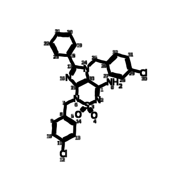 NC1=NS(=O)(=O)N(Cc2ccc(Cl)cc2)c2nc(-c3ccccc3)n(Cc3ccc(Cl)cc3)c21